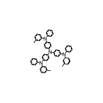 CC1=CC(N(c2ccccc2)c2ccc(N(c3ccc(N(c4ccccc4)c4cccc(C)c4)cc3)c3ccc(N(c4ccccc4)c4cccc(C)c4)cc3)cc2)C=C=C1